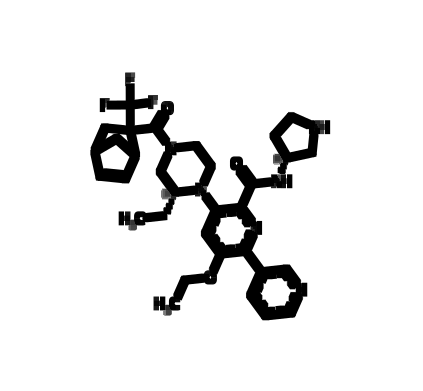 CCOc1cc(N2CCN(C(=O)C3(C(F)(F)F)CC4C=CC3C4)C[C@H]2CC)c(C(=O)N[C@@H]2CCNC2)nc1-c1cccnc1